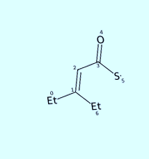 CCC(=CC(=O)[S])CC